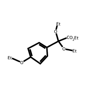 CCOC(=O)C(OCC)(OCC)c1ccc(OCC)cc1